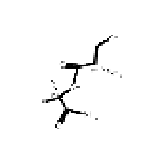 C[C@](F)(NC(=O)[C@@H](N)CS)C(N)=O